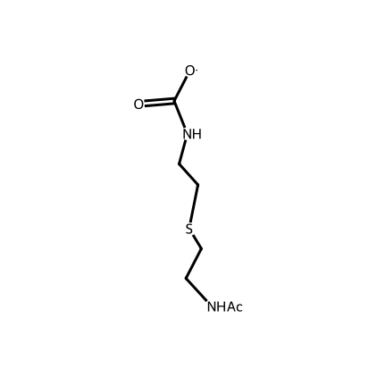 CC(=O)NCCSCCNC([O])=O